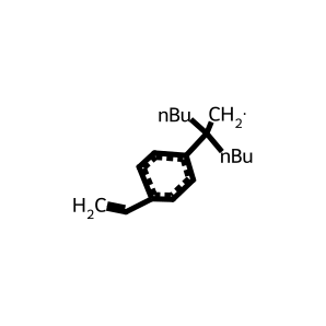 [CH2]C(CCCC)(CCCC)c1ccc(C=C)cc1